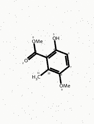 COC(=O)c1c(O)ccc(OC)c1C